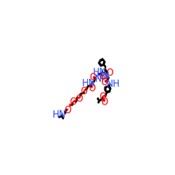 CC(C)NCCOCCOCCOCCOCCC(=O)NCC(=O)NCC(=O)N[C@@H](Cc1ccccc1)C(=O)NCC(=O)Nc1ccc(COC(=O)C(C)C)cc1